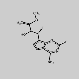 C=C(OC)C(O)[C@@H](F)c1ccc2c(N)nc(F)nn12